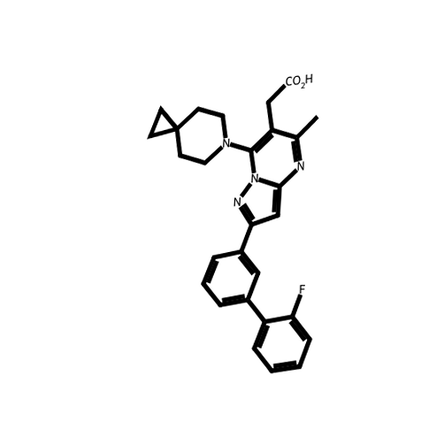 Cc1nc2cc(-c3cccc(-c4ccccc4F)c3)nn2c(N2CCC3(CC2)CC3)c1CC(=O)O